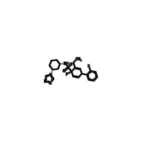 CCC1=CC(c2ccccc2F)C=CC1(F)S(=O)(=O)N[C@H]1CCC[C@@H](n2cnnc2)C1